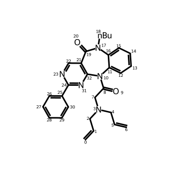 C=CCN(CC=C)CC(=O)N1c2ccccc2N(CCCC)C(=O)c2cnc(-c3ccccc3)nc21